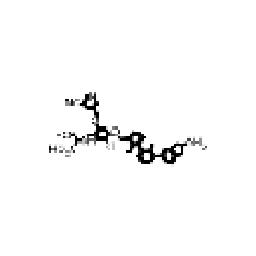 Cc1c(COc2cc(OCc3cncc(C#N)c3)c(CNC(CO)C(=O)O)cc2Cl)cccc1-c1cccc(-c2ccc3c(c2)CC(N)C3)c1C